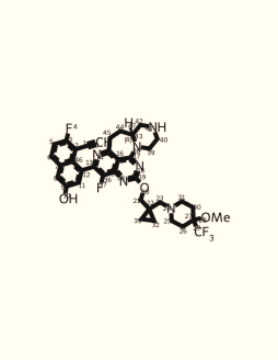 C#Cc1c(F)ccc2cc(O)cc(-c3nc4c5c(nc(OCC6(CN7CCC(OC)(C(F)(F)F)CC7)CC6)nc5c3F)N3CCNC[C@H]3CC4)c12